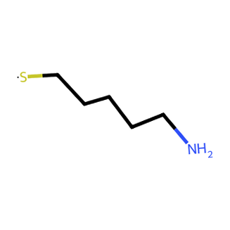 NCCCCC[S]